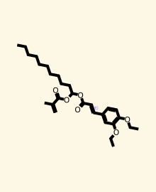 C=C(C)C(=O)OC(CCCCCCCCCC)OC(=O)/C=C/c1ccc(OCC)c(OCC)c1